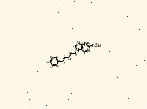 CCCCc1n[c]c2c(ncn2CCCCCc2ccccc2)n1